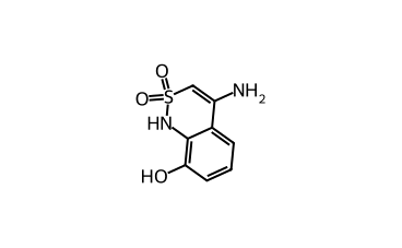 NC1=CS(=O)(=O)Nc2c(O)cccc21